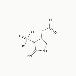 N=C1NCC(CC(=O)O)N1P(=O)(O)O